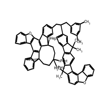 CCCCCCCC12CCC(CCCCC)(CCCCC)CCC3(CCCCCCC)c4ccccc4-c4c3c1c(c1oc3ccccc3c41)-c1ccc(CC(Cc3cc(C)cc(C)c3)c3ccc4c(c3)C(C)(C)c3cc5c(cc3-4)C(C)(C)c3ccc4oc6ccccc6c4c3-5)cc12